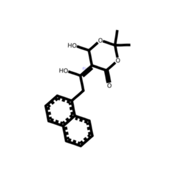 CC1(C)OC(=O)/C(=C(/O)Cc2cccc3ccccc23)C(O)O1